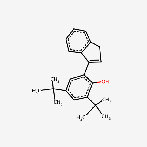 CC(C)(C)c1cc(C2=CCc3ccccc32)c(O)c(C(C)(C)C)c1